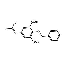 COc1cc(C=C(Br)Br)cc(OC)c1OCc1ccccc1